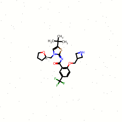 CC(C)(C)c1cn(C[C@H]2CCCO2)c(=NC(=O)c2cc(C(F)(F)F)ccc2OCC2CNC2)s1